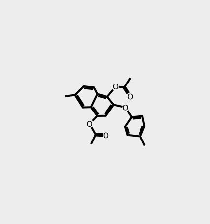 CC(=O)Oc1cc(Oc2ccc(C)cc2)c(OC(C)=O)c2ccc(C)cc12